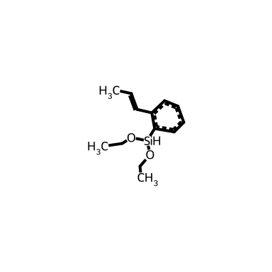 CC=Cc1ccccc1[SiH](OCC)OCC